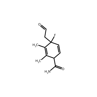 CC1=C(C)C(F)(CC=O)C=CC1C(N)=O